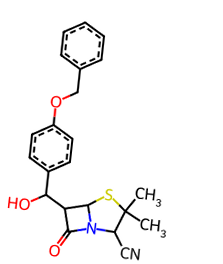 CC1(C)SC2C(C(O)c3ccc(OCc4ccccc4)cc3)C(=O)N2C1C#N